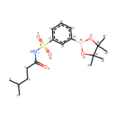 CC(C)CCC(=O)NS(=O)(=O)c1cccc(B2OC(C)(C)C(C)(C)O2)c1